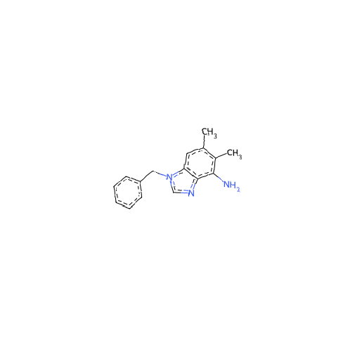 Cc1cc2c(ncn2Cc2ccccc2)c(N)c1C